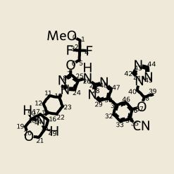 COCC(F)(F)COc1nn(C2CCC(N3[C@@H]4CC[C@H]3COC4)CC2)cc1Nc1ncc(-c2ccc(C#N)c(OC(C)Cn3cncn3)c2)cn1